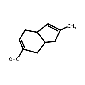 CC1=CC2CC=C(C=O)CC2C1